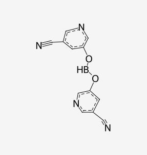 N#Cc1cncc(OBOc2cncc(C#N)c2)c1